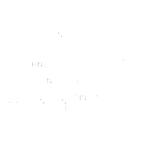 Cc1cc(NCCN)nc(NC(=O)Nc2ccc3c(c2)CCC3)n1